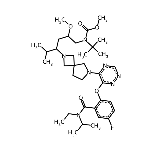 CCN(C(=O)c1cc(F)ccc1Oc1nncnc1N1CCC2(C1)CN(C(CC(CN(C(=O)OC)C(C)(C)C)OC)C(C)C)C2)C(C)C